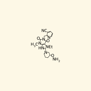 CCN1c2c(n(C)c(=O)n(Cc3ncccc3C#N)c2=O)NC1N1CCCC(ON)C1